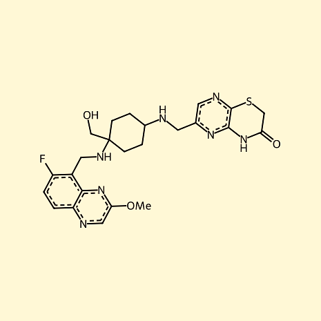 COc1cnc2ccc(F)c(CNC3(CO)CCC(NCc4cnc5c(n4)NC(=O)CS5)CC3)c2n1